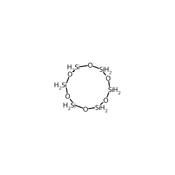 O1[SiH2]O[SiH2]O[SiH2]O[SiH2]O[SiH2]O[SiH2]1